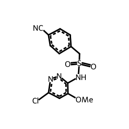 COc1cc(Cl)nnc1NS(=O)(=O)Cc1ccc(C#N)cc1